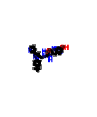 CC(C)(C)c1ccc(-n2nc(-c3cccnc3)cc2CNCC(=O)N[C@@H](Cc2ccc(O)cc2)C(N)=O)cc1